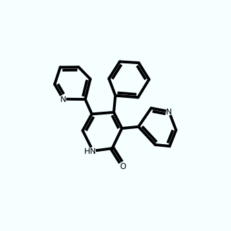 O=c1[nH]cc(-c2ccccn2)c(-c2ccccc2)c1-c1cccnc1